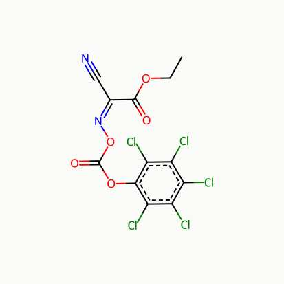 CCOC(=O)/C(C#N)=N\OC(=O)Oc1c(Cl)c(Cl)c(Cl)c(Cl)c1Cl